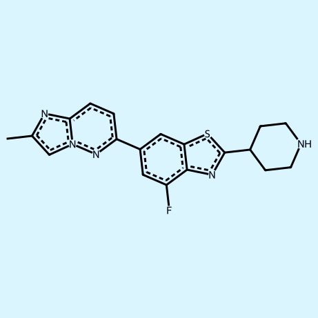 Cc1cn2nc(-c3cc(F)c4nc(C5CCNCC5)sc4c3)ccc2n1